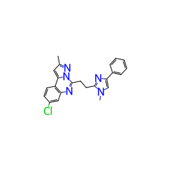 Cc1cc2c3ccc(Cl)cc3nc(CCc3nc(-c4ccccc4)cn3C)n2n1